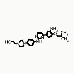 CC(C)COc1ccc(-c2ccnc(Nc3ccc(N4CCN(CCO)CC4)cc3)n2)cc1N